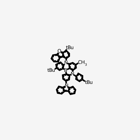 Cc1cc2c3c(c1)N(c1ccc(C(C)(C)C)c4oc5ccccc5c14)c1ccc(C(C)(C)C)cc1B3c1ccc(-n3c4ccccc4c4ccccc43)cc1N2c1ccc(C(C)(C)C)cc1